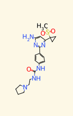 CS(=O)(=O)C1(c2cc(N)nc(-c3ccc(NC(=O)NCCN4CCCC4)cc3)n2)CC1